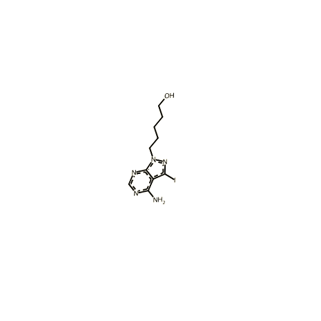 Nc1ncnc2c1c(I)nn2CCCCCO